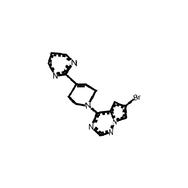 Brc1cc2c(N3CC=C(c4nc[c]cn4)CC3)ncnn2c1